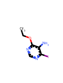 Nc1c(I)ncnc1OCC(F)(F)F